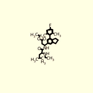 CCNC(CC(C)C)C(=O)NC(CC(=O)OCC)c1cc2c(c(-c3c(C)cc(F)cc3C)c1)CCC2